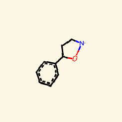 c1ccc(C2CC[N]O2)cc1